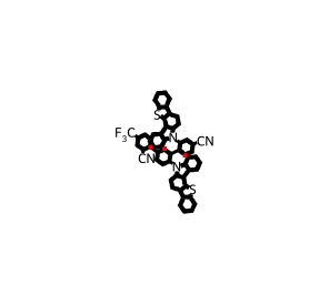 N#Cc1ccc(-c2cc(-c3ccc(C(F)(F)F)cc3C#N)ccc2-n2c3ccccc3c3c4sc5ccccc5c4ccc32)c(-n2c3ccccc3c3c4sc5ccccc5c4ccc32)c1